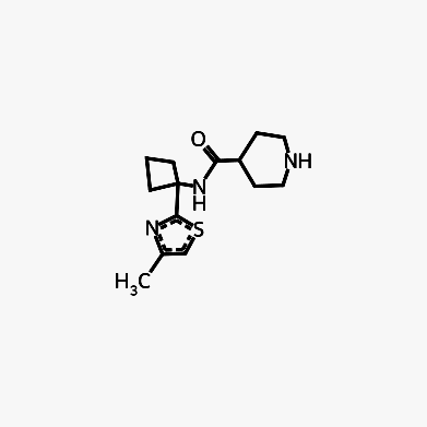 Cc1csc(C2(NC(=O)C3CCNCC3)CCC2)n1